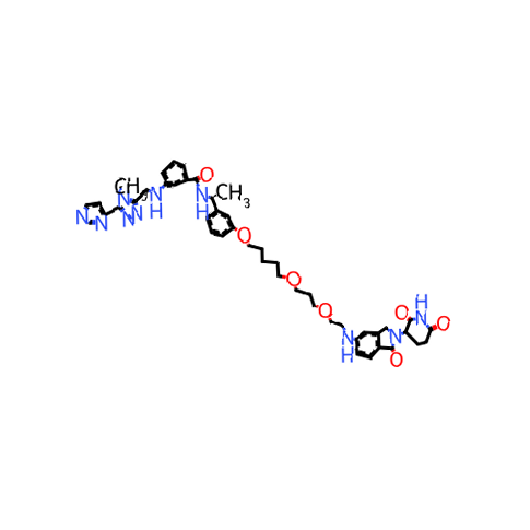 C[C@@H](NC(=O)c1cccc(NCc2nnc(-c3ccncn3)n2C)c1)c1cccc(OCCCCCOCCCOCCNc2ccc3c(c2)CN(C2CCC(=O)NC2=O)C3=O)c1